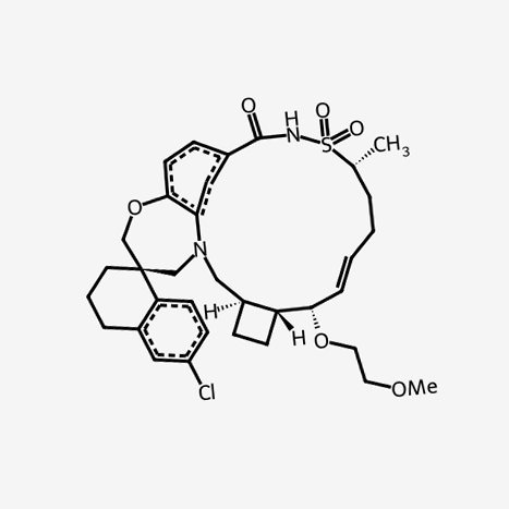 COCCO[C@H]1/C=C/CC[C@@H](C)S(=O)(=O)NC(=O)c2ccc3c(c2)N(C[C@@H]2CC[C@H]21)C[C@@]1(CCCc2cc(Cl)ccc21)CO3